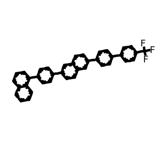 FC(F)(F)c1ccc(-c2ccc(-c3ccc4cc(-c5ccc(-c6cccc7ccccc67)cc5)ccc4c3)cc2)cc1